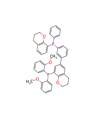 COc1ccccc1P(c1ccccc1OC)c1cc(-c2cccc(P(c3ccccc3)c3cccc4c3OCCC4)c2)cc2c1OCCC2